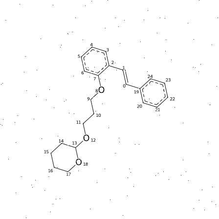 C(=Cc1ccccc1OCCCOC1CCCCO1)c1ccccc1